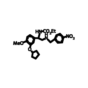 CCOC(=O)NC(CNCc1ccc([N+](=O)[O-])cc1)c1ccc(OC)c(OC2CCCC2)c1